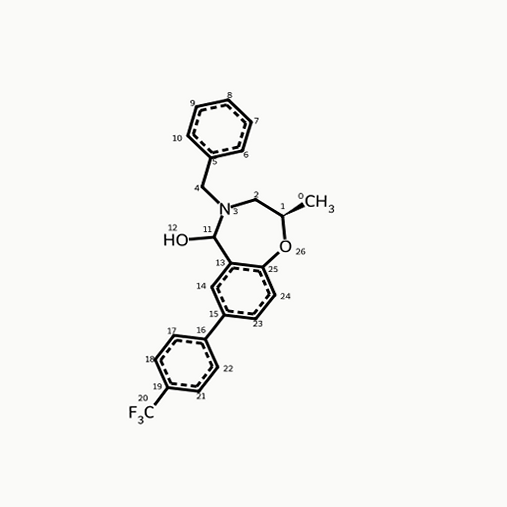 C[C@@H]1CN(Cc2ccccc2)C(O)c2cc(-c3ccc(C(F)(F)F)cc3)ccc2O1